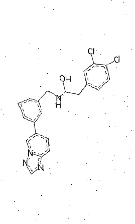 OC(Cc1ccc(Cl)c(Cl)c1)NCc1cccc(-c2ccc3ncnn3c2)c1